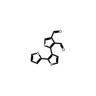 O=Cc1csc(-c2ccsc2-c2cccs2)c1C=O